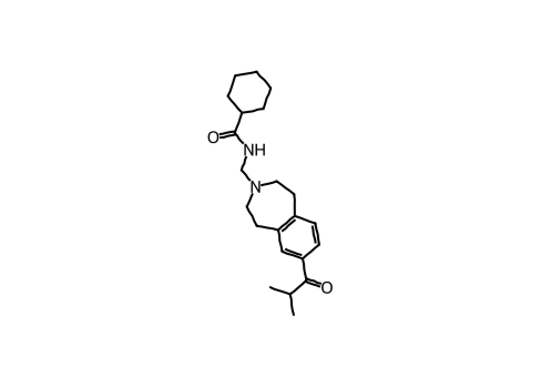 CC(C)C(=O)c1ccc2c(c1)CCN(CNC(=O)C1CCCCC1)CC2